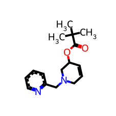 CC(C)(C)C(=O)OC1C=CCN(Cc2ccccn2)C1